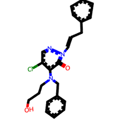 O=c1c(N(CCCO)Cc2ccccc2)c(Cl)cnn1C=CCc1ccccc1